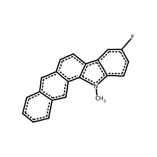 Cn1c2ccc(F)cc2c2ccc3cc4ccccc4cc3c21